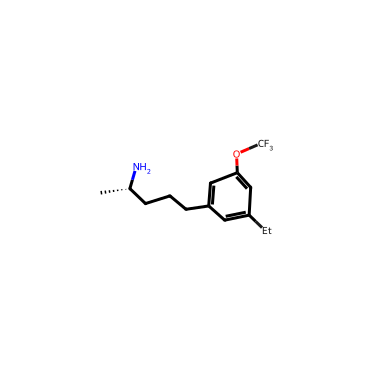 CCc1cc(CCC[C@H](C)N)cc(OC(F)(F)F)c1